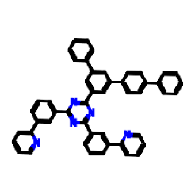 c1ccc(-c2ccc(-c3cc(-c4ccccc4)cc(-c4nc(-c5cccc(-c6ccccn6)c5)nc(-c5cccc(-c6ccccn6)c5)n4)c3)cc2)cc1